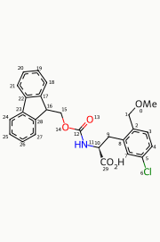 COCc1ccc(Cl)cc1C[C@H](NC(=O)OCC1c2ccccc2-c2ccccc21)C(=O)O